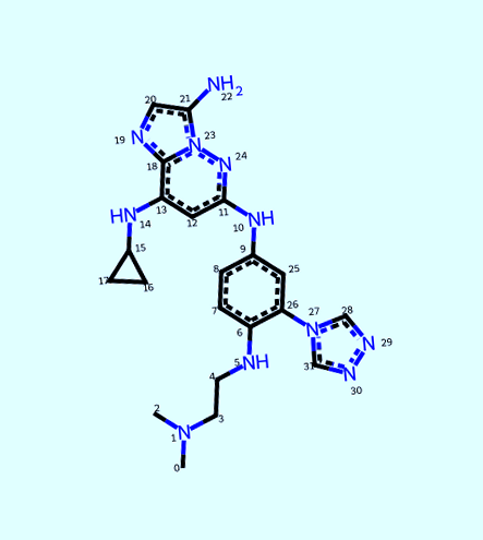 CN(C)CCNc1ccc(Nc2cc(NC3CC3)c3ncc(N)n3n2)cc1-n1cnnc1